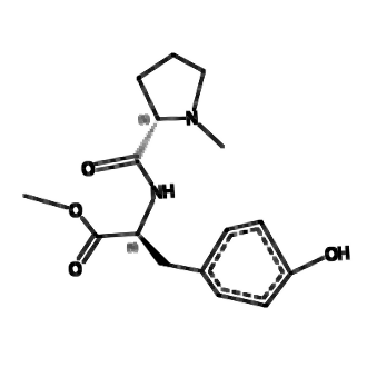 COC(=O)[C@H](Cc1ccc(O)cc1)NC(=O)[C@@H]1CCCN1C